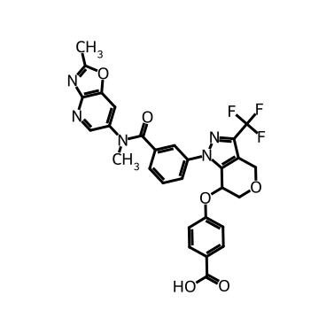 Cc1nc2ncc(N(C)C(=O)c3cccc(-n4nc(C(F)(F)F)c5c4C(Oc4ccc(C(=O)O)cc4)COC5)c3)cc2o1